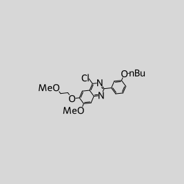 CCCCOc1cccc(-c2nc(Cl)c3cc(OCCOC)c(OC)cc3n2)c1